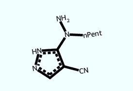 CCCCCN(N)c1[nH]ncc1C#N